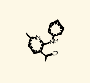 CC(=O)c1ccc(C)nc1Nc1ccccc1